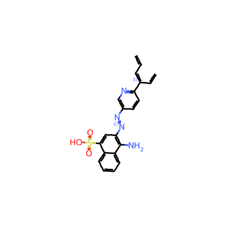 C=C/C=C(\C=C)c1ccc(/N=N/c2cc(S(=O)(=O)O)c3ccccc3c2N)cn1